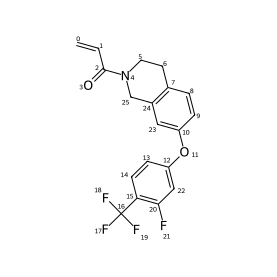 C=CC(=O)N1CCc2ccc(Oc3ccc(C(F)(F)F)c(F)c3)cc2C1